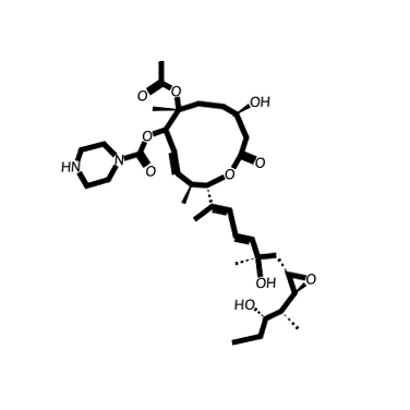 CC[C@H](O)[C@@H](C)[C@@H]1O[C@H]1C[C@@](C)(O)/C=C/C=C(\C)[C@H]1OC(=O)C[C@H](O)CC[C@@](C)(OC(C)=O)C(OC(=O)N2CCNCC2)/C=C/[C@@H]1C